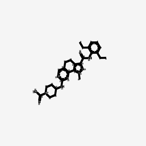 CCc1cccc(CC)c1NC(=O)c1nn(C)c2c1CCc1cnc(NC3CCN(C(=O)O)CC3)nc1-2